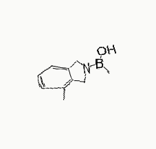 CB(O)N1Cc2cccc(C)c2C1